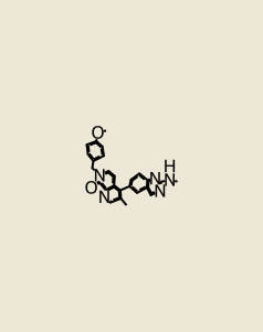 CNc1ncc2cc(-c3c(C)cnc4c(=O)n(Cc5ccc(OC)cc5)ccc34)ccc2n1